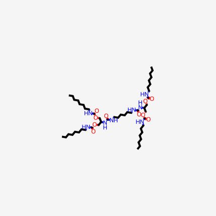 CCCCCCCCNC(=O)OCC(COC(=O)NCCCCCCCC)NC(=O)NCCCCCCNC(=O)NC(COC(=O)NCCCCCCCC)COC(=O)NCCCCCCCC